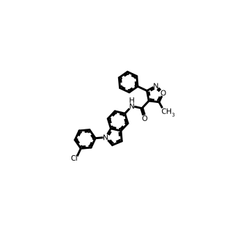 Cc1onc(-c2ccccc2)c1C(=O)Nc1ccc2c(ccn2-c2cccc(Cl)c2)c1